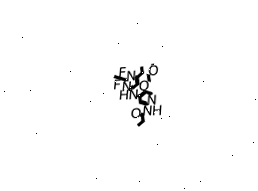 CCC(=O)Nc1cc(Nc2cc(CC)nc(C(C)(F)F)n2)c(OCCOC)cn1